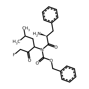 CC(C)CC(C(=O)CF)N(C(=O)OCc1ccccc1)C(=O)[C@@H](N)Cc1ccccc1